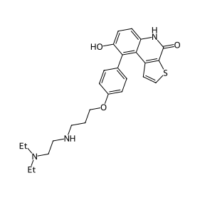 CCN(CC)CCNCCCOc1ccc(-c2c(O)ccc3[nH]c(=O)c4sccc4c23)cc1